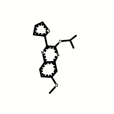 COc1ccc2nc(-c3cccs3)c(OC(C)C)nc2c1